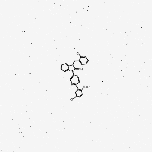 CC(=O)Nc1ccc(Cl)cc1-c1ccc(-n2c(=N)n(Cc3ccccc3Cl)c3ccccc32)cn1